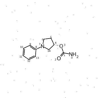 NC(=O)O[C@H]1CCN(c2ccccc2)C1